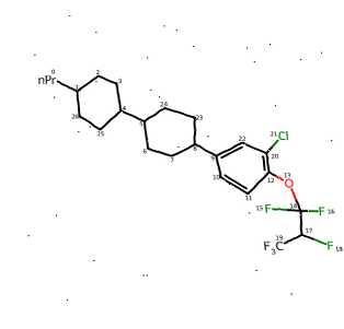 CCCC1CCC(C2CCC(c3ccc(OC(F)(F)C(F)C(F)(F)F)c(Cl)c3)CC2)CC1